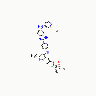 Cc1cc(Nc2ccc3nc(-c4ccc(Nc5cc(C)nc6ccc(C7=C(F)C(C)(C)OCC7)cc56)cn4)[nH]c3c2)ccn1